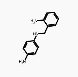 Nc1ccc(NCc2ccccc2N)cc1